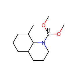 CO[SiH](OC)N1CCCC2CCCC(C)C21